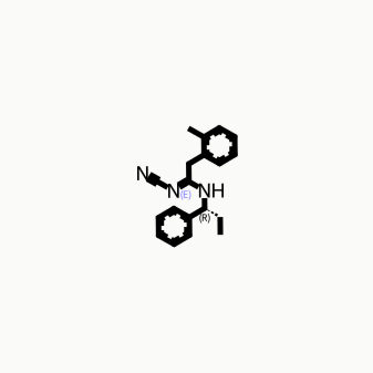 CC[C@@H](N/C(Cc1ccccc1C)=N/C#N)c1ccccc1